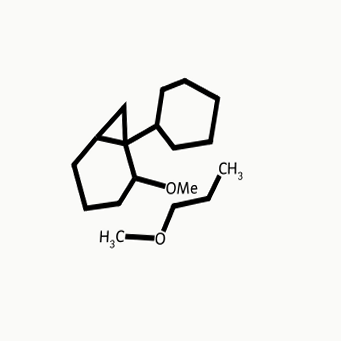 CCCOC.COC1CCCC2CC21C1CCCCC1